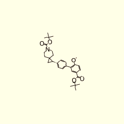 COc1ccc(C(=O)OC(C)(C)C)cc1-c1ccc(C2CC23CCN(C(=O)OC(C)(C)C)CC3)cc1